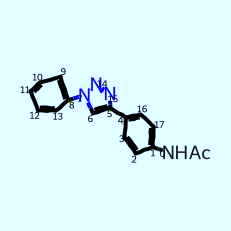 CC(=O)Nc1ccc(-c2cn(-c3ccccc3)nn2)cc1